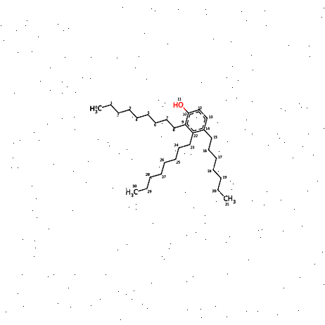 CCCCCCCCCc1c(O)ccc(CCCCCCC)c1CCCCCCCC